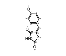 [O]c1ccc(C=C2SC(=O)NC2=O)cc1